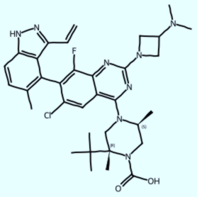 C=Cc1n[nH]c2ccc(C)c(-c3c(Cl)cc4c(N5C[C@@](C)(C(C)(C)C)N(C(=O)O)C[C@@H]5C)nc(N5CC(N(C)C)C5)nc4c3F)c12